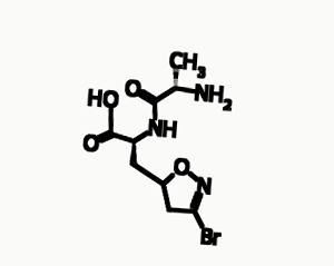 C[C@H](N)C(=O)N[C@@H](CC1CC(Br)=NO1)C(=O)O